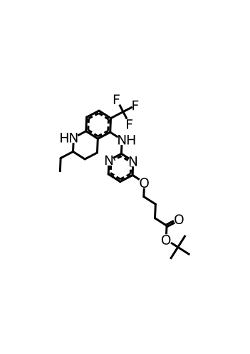 CCC1CCc2c(ccc(C(F)(F)F)c2Nc2nccc(OCCCC(=O)OC(C)(C)C)n2)N1